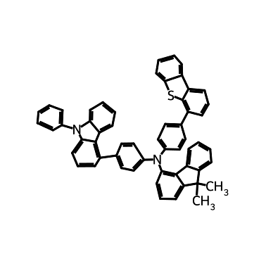 CC1(C)c2ccccc2-c2c(N(c3ccc(-c4cccc5c4sc4ccccc45)cc3)c3ccc(-c4cccc5c4c4ccccc4n5-c4ccccc4)cc3)cccc21